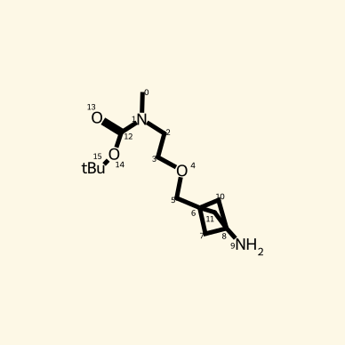 CN(CCOCC12CC(N)(C1)C2)C(=O)OC(C)(C)C